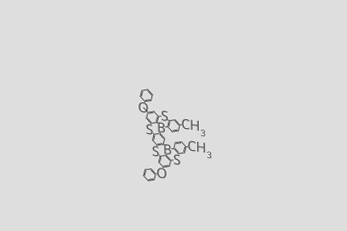 Cc1ccc2c(c1)Sc1cc(Oc3ccccc3)cc3c1B2c1cc2c(cc1S3)Sc1cc(Oc3ccccc3)cc3c1B2c1ccc(C)cc1S3